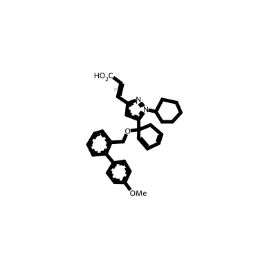 COc1ccc(-c2ccccc2COC2(c3cc(/C=C/C(=O)O)nn3C3CCCCC3)C=CC=CC2)cc1